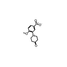 COc1ccc([N+](=O)[O-])cc1N1CCC(=O)CC1